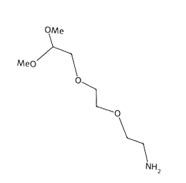 COC(COCCOCCN)OC